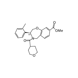 COC(=O)c1ccc2c(c1)OC[C@H](c1ccccc1C)N(C(=O)C1CCOCC1)C2